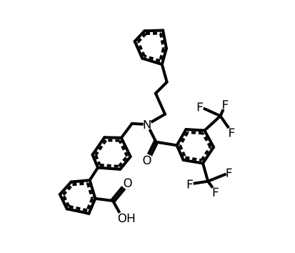 O=C(O)c1ccccc1-c1ccc(CN(CCCc2ccccc2)C(=O)c2cc(C(F)(F)F)cc(C(F)(F)F)c2)cc1